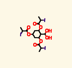 CC(I)C(=O)OC1CC(OC(=O)C(C)I)C(C(O)O)C(OC(=O)C(C)I)C1